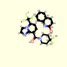 O=C(c1ccc(C(F)(F)F)n2ccnc12)N1CCC(F)(F)[C@@H](Oc2ccc3ccccc3n2)C1